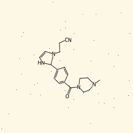 CN1CCN(C(=O)c2ccc(C3NC=CN3CCC#N)cc2)CC1